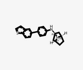 CN1[C@@H]2CC[C@H]1C[C@@H](Nc1ccc(-c3ccc4sccc4c3)cc1)C2